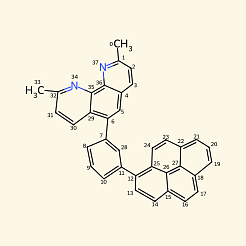 Cc1ccc2cc(-c3cccc(-c4ccc5ccc6cccc7ccc4c5c67)c3)c3ccc(C)nc3c2n1